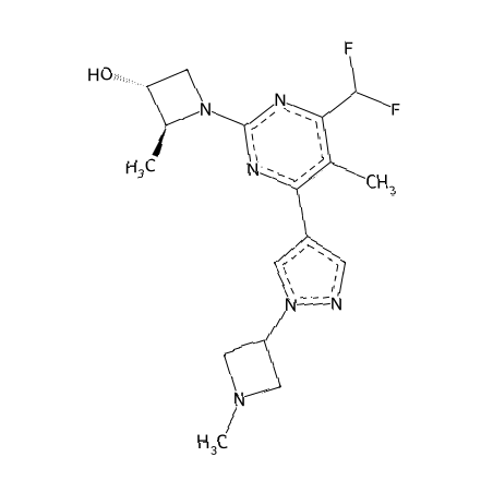 Cc1c(-c2cnn(C3CN(C)C3)c2)nc(N2C[C@@H](O)[C@@H]2C)nc1C(F)F